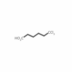 O=C(O)CCCCC(Cl)(Cl)Cl